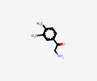 Cc1ccc(C(=O)CN)cc1[N+](=O)[O-]